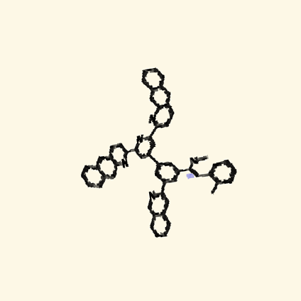 C=N/C(=C\c1ccccc1C)c1cc(-c2cc(-c3ccc4cc5ccccc5cc4n3)nc(-c3ccc4cc5ccccc5cc4n3)c2)cc(-c2cc3ccccc3cn2)c1